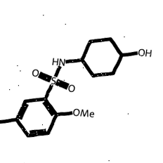 COc1ccc(Br)cc1S(=O)(=O)NC1CCC(O)CC1